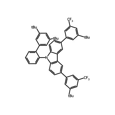 CC(C)(C)c1cc(-c2ccccc2-n2c3ccc(-c4cc(C(C)(C)C)cc(C(F)(F)F)c4)cc3c3cc(-c4cc(C(C)(C)C)cc(C(F)(F)F)c4)ccc32)cc(C(C)(C)C)c1